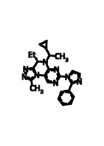 CC[C@@H]1c2nnc(C)n2-c2cnc(-n3ccnc3-c3ccccc3)nc2N1C(C)C1CC1